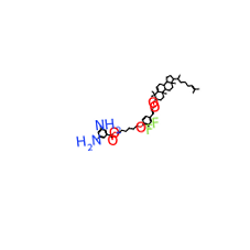 CC(C)=CCCCC(C)C1CCC2C3CC=C4C(C)(C)C(OO/C=C/c5ccc(OCCCCCCOC(=O)c6cc(N)cc(N)c6)c(F)c5F)CCC4(C)C3CCC12C